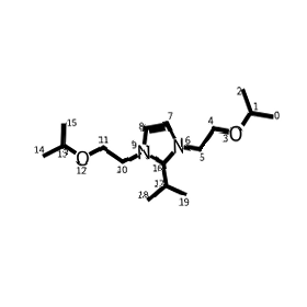 CC(C)OCCN1C=CN(CCOC(C)C)C1C(C)C